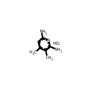 Cc1cc(N)nc(N)c1C.Cl